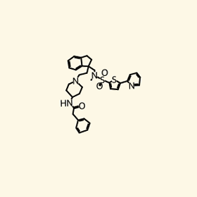 CN(CC1(CCN2CCC(NC(=O)Cc3ccccc3)CC2)CCc2ccccc21)S(=O)(=O)c1ccc(-c2ccccn2)s1